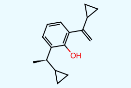 C=C(c1cccc([C@H](C)C2CC2)c1O)C1CC1